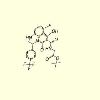 CC(C)(C)OC(=O)CNC(=O)c1c(O)c2c(F)ccc3c2n(c1=O)C(c1ccc(C(F)(F)F)cc1)CN3